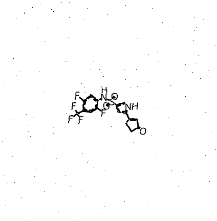 O=C1C=C(c2cc(S(=O)(=O)Nc3cc(F)c(C(F)(F)F)cc3F)c[nH]2)CC1